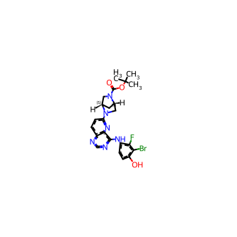 CC(C)(C)OC(=O)N1C[C@@H]2C[C@H]1CN2c1ccc2ncnc(Nc3ccc(O)c(Br)c3F)c2n1